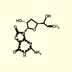 C=CC(O)[C@@H]1C[C@@H](O)[C@H](n2c(=O)sc3c(=O)[nH]c(N)nc32)O1